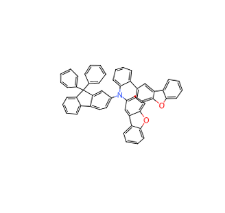 c1ccc(C2(c3ccccc3)c3ccccc3-c3ccc(N(c4ccc5oc6ccccc6c5c4)c4ccccc4-c4ccc5oc6ccccc6c5c4)cc32)cc1